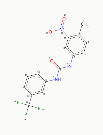 Cc1ccc(NC(=O)Nc2cccc(C(F)(F)F)c2)cc1[N+](=O)[O-]